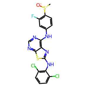 C[S+]([O-])c1ccc(Nc2ncnc3sc(Nc4c(Cl)cccc4Cl)nc23)cc1F